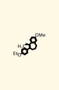 C=CC1=C(c2ccc(OCC)cc2)CCCc2cc(OC)ccc21